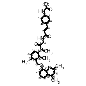 CCC(=O)Nc1ccc(C=CC(=O)NCC(=O)N(C)c2ccc(C)c(COc3cccc4c(C)cc(C)nc34)c2C)cc1